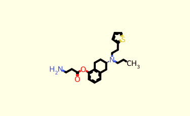 CCCN(CCc1cccs1)[C@H]1CCc2c(cccc2OC(=O)CCN)C1